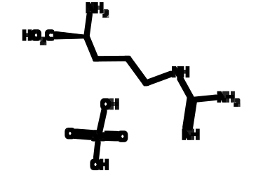 N=C(N)NCCC[C@H](N)C(=O)O.O=[Se](=O)(O)O